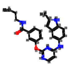 COCCNC(=O)c1cccc(Oc2nccc(Nc3ccc4[nH]c(C)cc4c3)n2)c1